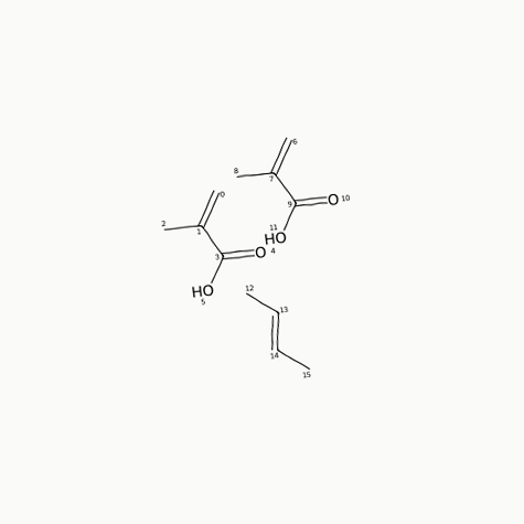 C=C(C)C(=O)O.C=C(C)C(=O)O.CC=CC